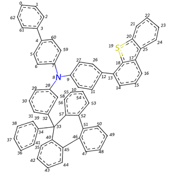 c1ccc(-c2ccc(N(c3ccc(-c4cccc5c4sc4ccccc45)cc3)c3cccc(C4(c5ccccc5)c5ccccc5-c5ccccc5-c5ccccc54)c3)cc2)cc1